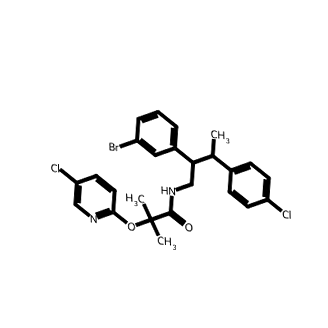 CC(c1ccc(Cl)cc1)C(CNC(=O)C(C)(C)Oc1ccc(Cl)cn1)c1cccc(Br)c1